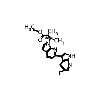 CCOC(=O)[C@H](C)[C@@H](C)n1ccc2ccc(-c3c[nH]c4ncc(F)cc34)nc21